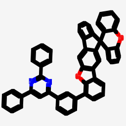 c1ccc(-c2cc(-c3cccc(-c4cccc5c4oc4cc6c(cc45)C4(c5ccccc5Oc5ccccc54)c4ccccc4-6)c3)nc(-c3ccccc3)n2)cc1